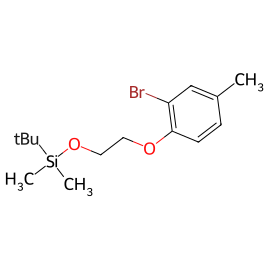 Cc1ccc(OCCO[Si](C)(C)C(C)(C)C)c(Br)c1